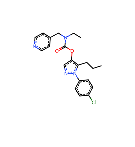 CCCc1c(OC(=O)N(CC)Cc2ccncc2)cnn1-c1ccc(Cl)cc1